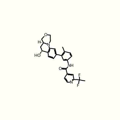 Cc1ccc(NC(=O)c2ccnc(C(C)(F)F)c2)cc1-c1ccc2c(c1)N1CCOC[C@@H]1C[C@@H]2O